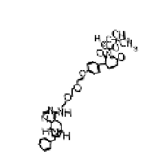 CC(C)(C)OC(=O)N1C(=O)CCC(c2ccc(OCCOCCOCCNc3ncnc4c3C[C@@H]3CC[C@H]4N3Cc3ccccc3)cc2)C1=O